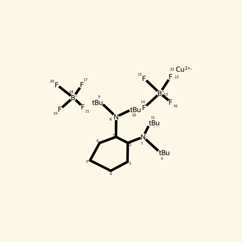 CC(C)(C)N(C1CCCCC1N(C(C)(C)C)C(C)(C)C)C(C)(C)C.F[B-](F)(F)F.F[B-](F)(F)F.[Cu+2]